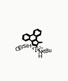 CC1[C]([Ti+2]([CH3])([CH3])[NH]C(C)(C)C)=Cc2c1c1ccccc1c1ccccc21.[Cl-].[Cl-].[SiH4]